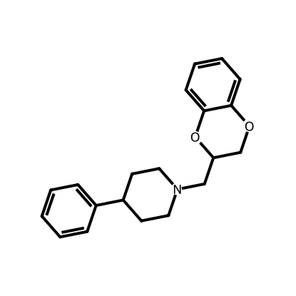 c1ccc(C2CCN(CC3COc4ccccc4O3)CC2)cc1